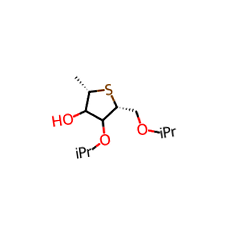 CC(C)OC[C@H]1S[C@@H](C)C(O)C1OC(C)C